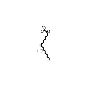 CCCCCCC(O)C/C=C\CCCCCC1OC1C(=O)OC